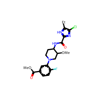 CCc1[nH]c(C(=O)NC2CCN(c3cc(C(=O)OC)ccc3F)CC2OC)nc1Cl